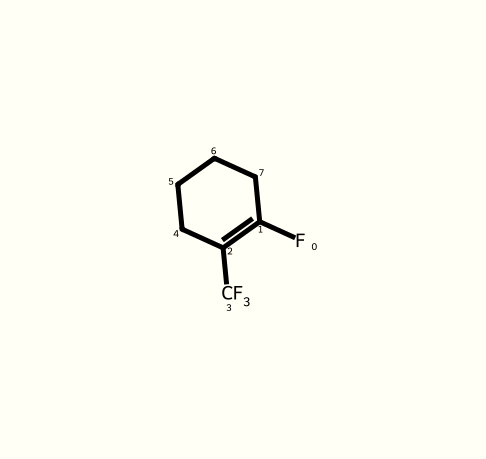 FC1=C(C(F)(F)F)CCCC1